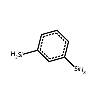 [SiH3]c1cccc([SiH3])c1